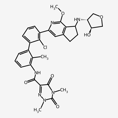 COc1nc(-c2cccc(-c3cccc(NC(=O)c4nn(C)c(=O)n(C)c4=O)c3C)c2Cl)cc2c1C(N[C@@H]1COC[C@H]1O)CC2